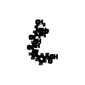 CCCCCC(CN(O)C=O)C(=O)NCNC(=O)c1ccc(-c2cccc(CC(=O)O)c2)o1